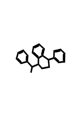 CC(c1ccccc1)C1CCC(c2ccccc2)c2ccccc21